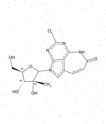 C[C@]1(O)C(n2cc3c4c(nc(Cl)nc42)NC(=O)C=C3)O[C@H](CO)[C@H]1O